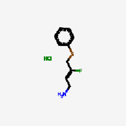 Cl.NCC=C(F)CSc1ccccc1